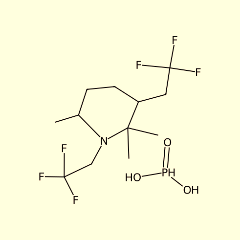 CC1CCC(CC(F)(F)F)C(C)(C)N1CC(F)(F)F.O=[PH](O)O